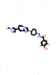 O=C(NC[C@H]1CC[C@H](c2cn3ccc(-c4cnn(C(F)F)c4)cc3n2)CC1)c1cc(F)c(O)c(F)c1F